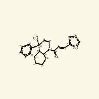 O=C(C=Cc1ccco1)N1CCC(O)(c2ccccc2)C2CCCCC21